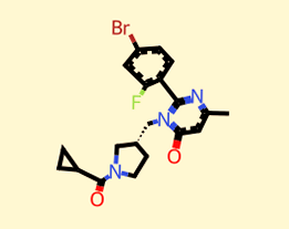 Cc1cc(=O)n(C[C@@H]2CCN(C(=O)C3CC3)C2)c(-c2ccc(Br)cc2F)n1